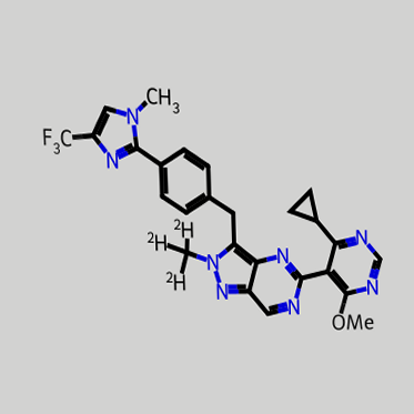 [2H]C([2H])([2H])n1nc2cnc(-c3c(OC)ncnc3C3CC3)nc2c1Cc1ccc(-c2nc(C(F)(F)F)cn2C)cc1